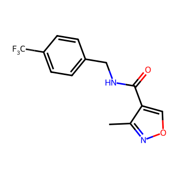 Cc1nocc1C(=O)NCc1ccc(C(F)(F)F)cc1